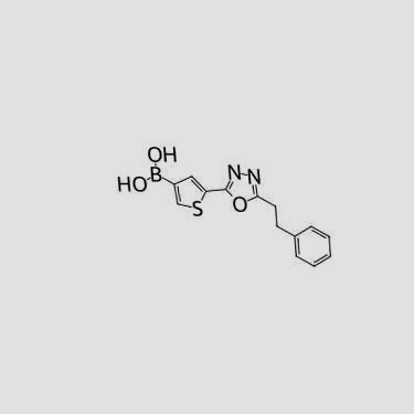 OB(O)c1csc(-c2nnc(CCc3ccccc3)o2)c1